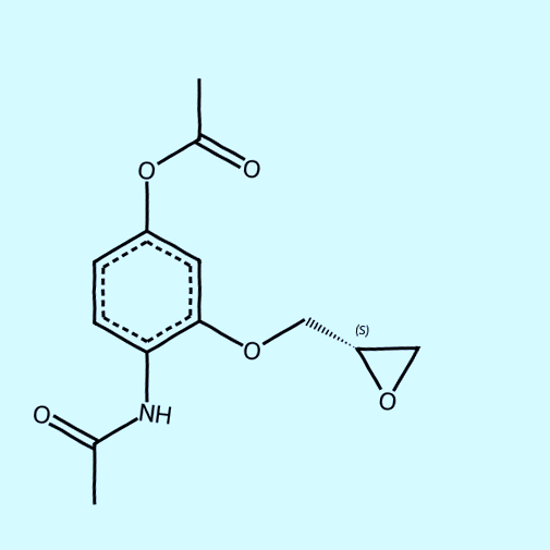 CC(=O)Nc1ccc(OC(C)=O)cc1OC[C@@H]1CO1